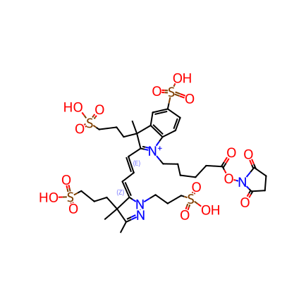 CC1=NN(CCCS(=O)(=O)O)/C(=C\C=C\C2=[N+](CCCCCC(=O)ON3C(=O)CCC3=O)c3ccc(S(=O)(=O)O)cc3C2(C)CCCS(=O)(=O)O)C1(C)CCCS(=O)(=O)O